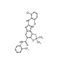 CC1(C)Cc2c(c(C(=O)Nc3ccccc3C(F)(F)F)cc3nc(Nc4c(Cl)cccc4Cl)[nH]c23)O1